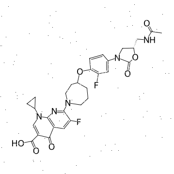 CC(=O)NC[C@H]1CN(c2ccc(OC3CCCN(c4nc5c(cc4F)c(=O)c(C(=O)O)cn5C4CC4)CC3)c(F)c2)C(=O)O1